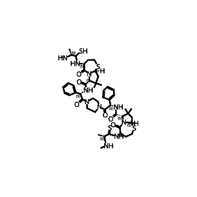 CN[C@@H](C)C(=S)N[C@H]1CCS[C@H]2CC(C)(C)[C@@H](C(=O)N[C@H](C(=O)N3CCN(C(=O)[C@@H](NC(=O)[C@H]4N5C(=O)[C@@H](NC(S)[C@H](C)NC)CCS[C@H]5CC4(C)C)c4ccccc4)CC3)c3ccccc3)N2C1=O